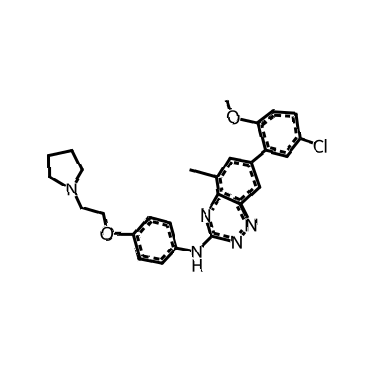 COc1ccc(Cl)cc1-c1cc(C)c2nc(Nc3ccc(OCCN4CCCC4)cc3)nnc2c1